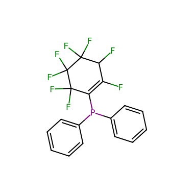 FC1=C(P(c2ccccc2)c2ccccc2)C(F)(F)C(F)(F)C(F)(F)C1F